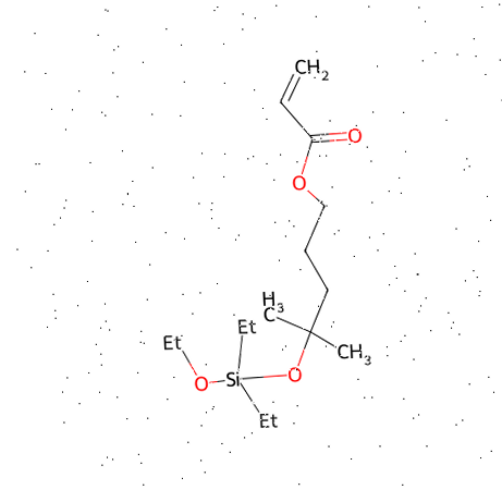 C=CC(=O)OCCCC(C)(C)O[Si](CC)(CC)OCC